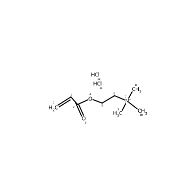 C=CC(=O)OCC[N+](C)(C)C.Cl.Cl